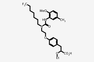 CCOC(Cc1ccc(OCCN(CCCCCCC(F)(F)F)C(=O)Nc2cc(C)ccc2OC)cc1)C(=O)O